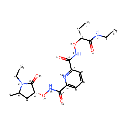 CC(C)CNC(=O)[C@@H](CC(C)C)ONC(=O)c1cccc(C(=O)NO[C@@H]2CC(C)N(CC(C)C)C2=O)n1